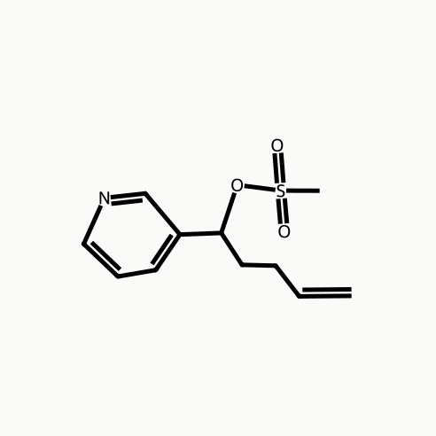 C=CCCC(OS(C)(=O)=O)c1cccnc1